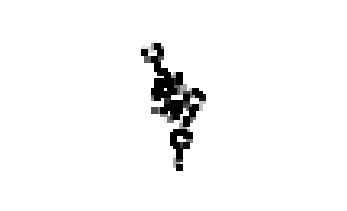 Cc1sc(N(Cc2ccccc2)c2ccc(C#N)cc2)nc1C(=O)NS(=O)(=O)CCN1CCOCC1